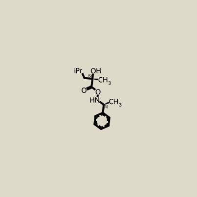 CC(C)C[C@](C)(O)C(=O)ON[C@@H](C)c1ccccc1